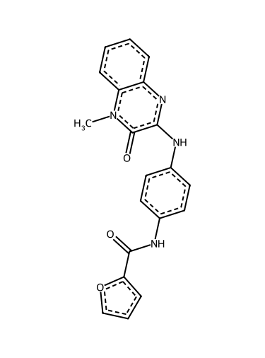 Cn1c(=O)c(Nc2ccc(NC(=O)c3ccco3)cc2)nc2ccccc21